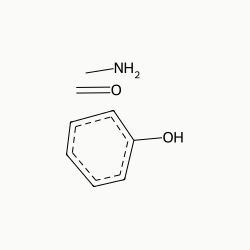 C=O.CN.Oc1ccccc1